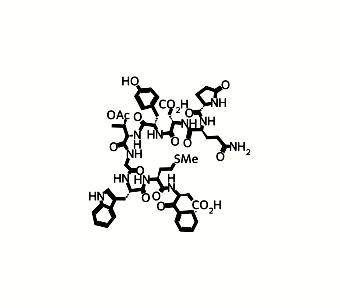 CSCC[C@H](NC(=O)[C@H](Cc1c[nH]c2ccccc12)NC(=O)CNC(=O)[C@@H](NC(=O)[C@H](Cc1ccc(O)cc1)NC(=O)[C@H](CC(=O)O)NC(=O)[C@H](CCC(N)=O)NC(=O)[C@@H]1CCC(=O)N1)[C@@H](C)OC(C)=O)C(=O)N[C@@H](CC(=O)O)C(=O)C1=CC=CC[CH]1